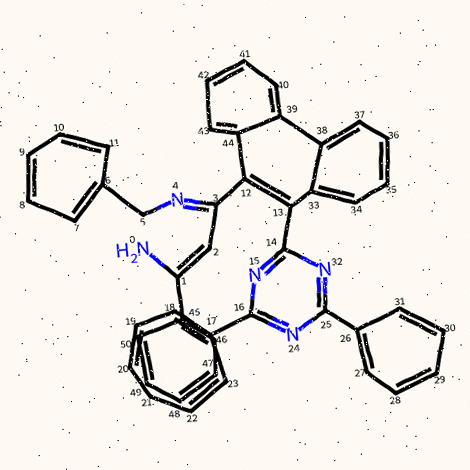 N/C(=C\C(=N/Cc1ccccc1)c1c(-c2nc(C3=CC=CCC=C3)nc(-c3ccccc3)n2)c2ccccc2c2ccccc12)c1ccccc1